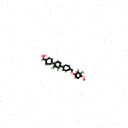 COc1ccc(OCC2CCC(c3ccc(C4CCC(CO)CC4)c(F)c3F)CC2)c(F)c1F